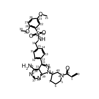 C=CC(=O)N1CCCC(n2nc(-c3ccc(CNS(=O)(=O)c4cc(OC)ccc4OC)cc3)c3c(N)ncnc32)C1